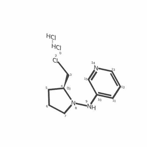 Cl.Cl.ClC[C@@H]1CCCN1Nc1cccnc1